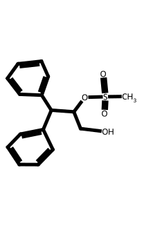 CS(=O)(=O)OC(CO)C(c1ccccc1)c1ccccc1